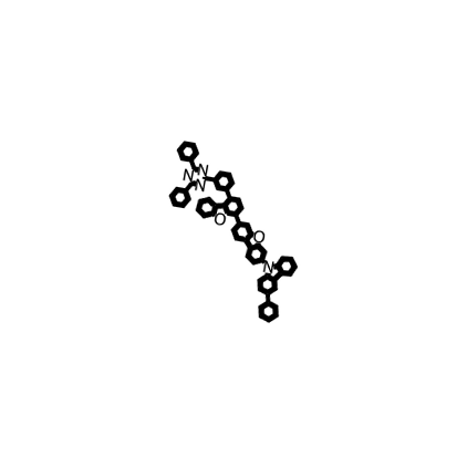 c1ccc(-c2ccc3c(c2)c2ccccc2n3-c2ccc3c(c2)oc2cc(-c4ccc(-c5cccc(-c6nc(-c7ccccc7)nc(-c7ccccc7)n6)c5)c5c4oc4ccccc45)ccc23)cc1